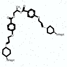 CCCCCCC[C@H]1CC[C@H](C=CCOc2ccc(C(=O)OC[C@@H](C)OC(=O)c3ccc(OCC=C[C@H]4CC[C@H](CCCCCCC)CC4)cc3)cc2)CC1